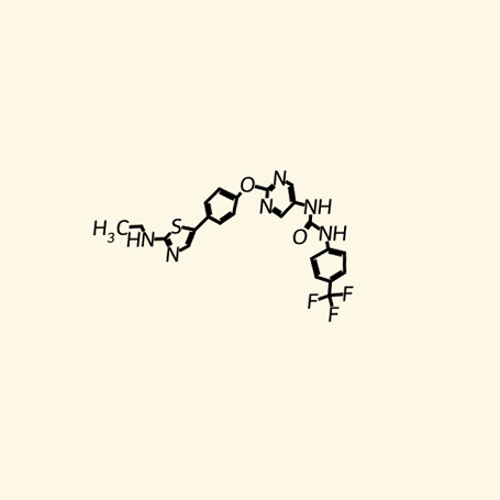 CCNc1ncc(-c2ccc(Oc3ncc(NC(=O)Nc4ccc(C(F)(F)F)cc4)cn3)cc2)s1